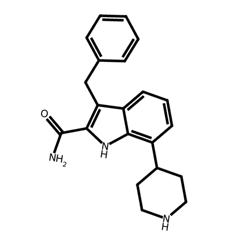 NC(=O)c1[nH]c2c(C3CCNCC3)cccc2c1Cc1ccccc1